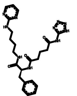 O=C(CCCC(=O)N[C@@H](Cc1ccccc1)C(=O)NCCCCNc1ncccn1)Nc1nnn[nH]1